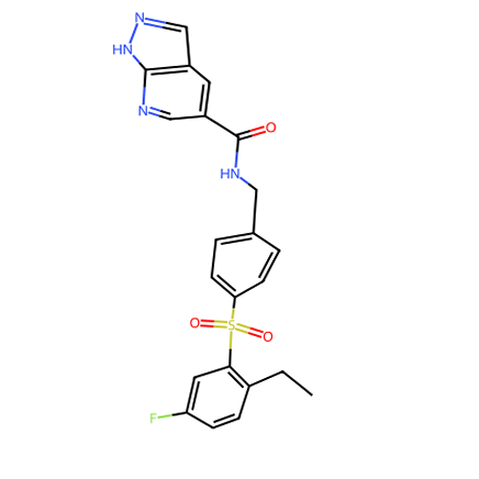 CCc1ccc(F)cc1S(=O)(=O)c1ccc(CNC(=O)c2cnc3[nH]ncc3c2)cc1